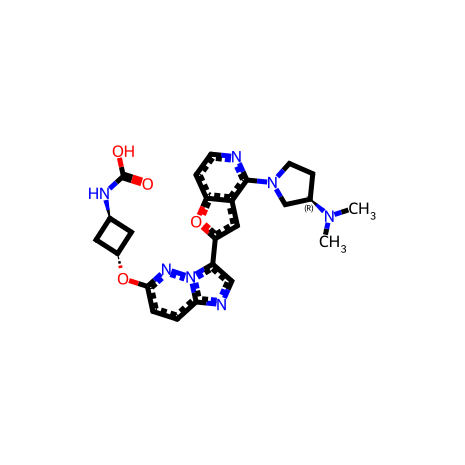 CN(C)[C@@H]1CCN(c2nccc3oc(-c4cnc5ccc(O[C@H]6C[C@H](NC(=O)O)C6)nn45)cc23)C1